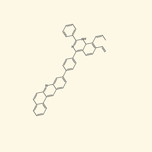 C=CC1=C(/C=C\C)C2NC(c3ccccc3)=NC(c3ccc(-c4ccc5cc6c(ccc7ccccc76)nc5c4)cc3)=C2C=C1